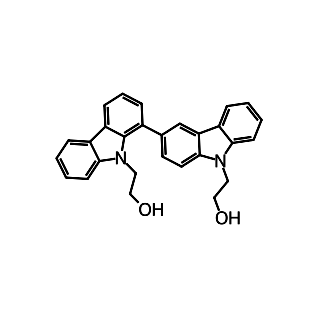 OCCn1c2ccccc2c2cc(-c3cccc4c5ccccc5n(CCO)c34)ccc21